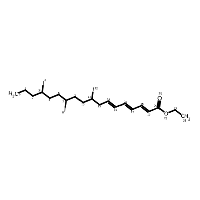 CCCC(I)CCC(I)CCC(I)CC=CC=CC=CC(=O)OCC